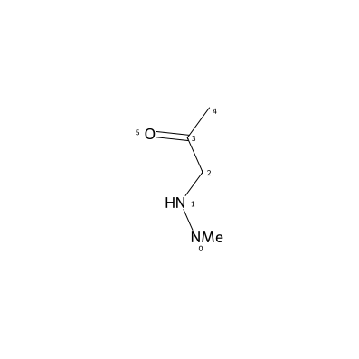 CNNCC(C)=O